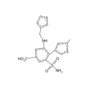 Cc1cc(-c2c(NCc3ccsc3)cc(C(=O)O)cc2S(N)(=O)=O)cs1